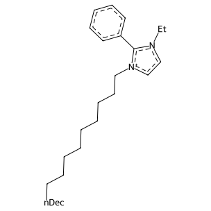 CCCCCCCCCCCCCCCCCCC[n+]1ccn(CC)c1-c1ccccc1